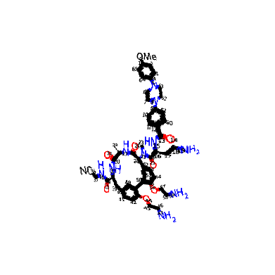 COc1ccc(N2CCN(c3ccc(C(=O)N[C@@H](CCN)C(=O)N(C)[C@@H]4C(=O)N[C@@H](C)C(=O)N[C@H](C(=O)NCC#N)Cc5ccc(OCCN)c(c5)-c5cc4ccc5OCCN)cc3)CC2)cc1